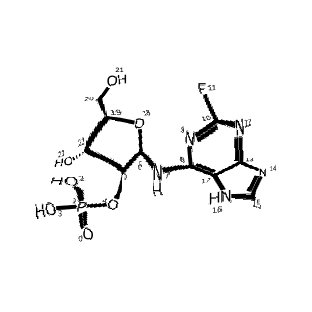 O=P(O)(O)O[C@@H]1C(Nc2nc(F)nc3nc[nH]c23)O[C@H](CO)[C@H]1O